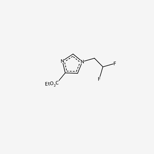 CCOC(=O)c1cn(CC(F)F)cn1